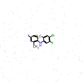 Cc1cc(I)ccc1Nc1cc(F)c(Br)cc1C(=O)O